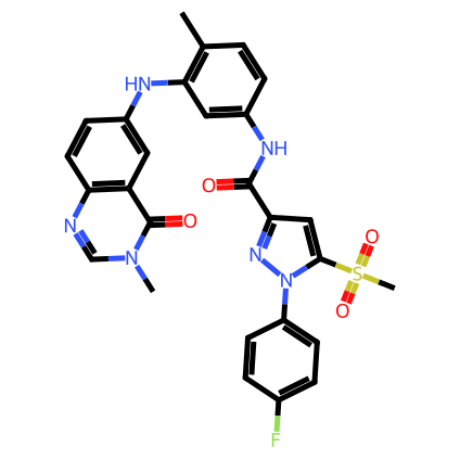 Cc1ccc(NC(=O)c2cc(S(C)(=O)=O)n(-c3ccc(F)cc3)n2)cc1Nc1ccc2ncn(C)c(=O)c2c1